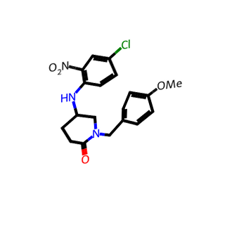 COc1ccc(CN2CC(Nc3ccc(Cl)cc3[N+](=O)[O-])CCC2=O)cc1